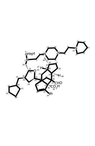 CCCCCCCN(CCN1CCN(CCN2CCCCC2)CC1)C[C@@H]1O[C@@H](C23C[C@@H]4[C@H](C)CC[C@H]4C4(C=O)CC2C=C(C(C)C)[C@]43C(=O)O)C[C@H]1CC1CCCC1